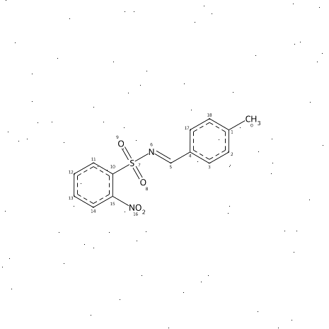 Cc1ccc(/C=N/S(=O)(=O)c2ccccc2[N+](=O)[O-])cc1